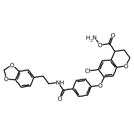 NOC(=O)C1CCOc2cc(Oc3ccc(C(=O)NCCc4ccc5c(c4)OCO5)cc3)c(Cl)cc21